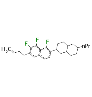 C=CCCc1cc2ccc(C3CCC4CC(CCC)CCC4C3)c(F)c2c(F)c1F